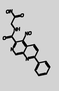 O=NC(=O)CNC(=O)c1ncc2nc(-c3ccccc3)ccc2c1N=O